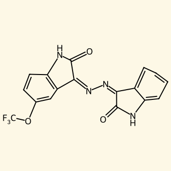 O=C1Nc2ccccc2/C1=N/N=C1\C(=O)Nc2ccc(OC(F)(F)F)cc21